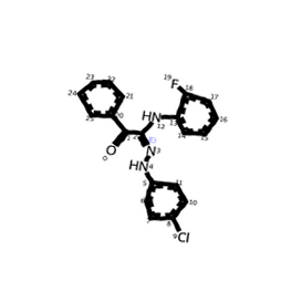 O=C(/C(=N\Nc1ccc(Cl)cc1)Nc1ccccc1F)c1ccccc1